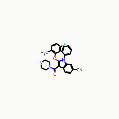 Cc1ccc(F)cc1Oc1c(C(=O)N2CCNCC2)c2ccc(C#N)cc2n1-c1ccccc1